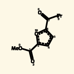 COC(=O)c1ccc(C(=O)C(C)C)o1